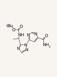 CC(NC(=O)OC(C)(C)C)c1ncnn1-c1cc(C(N)=O)ncn1